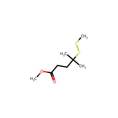 COC(=O)CCC(C)(C)SSC